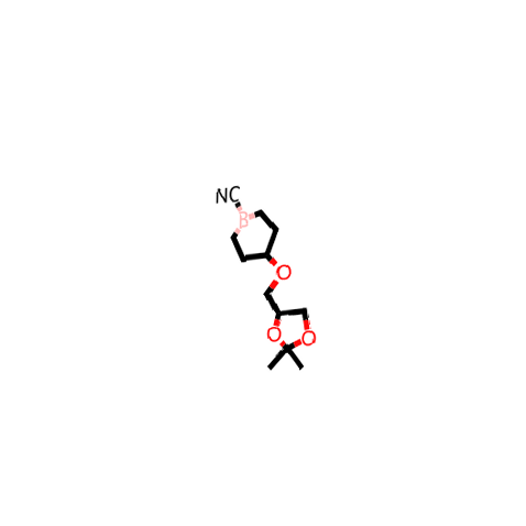 CC1(C)OCC(COC2CCB(C#N)CC2)O1